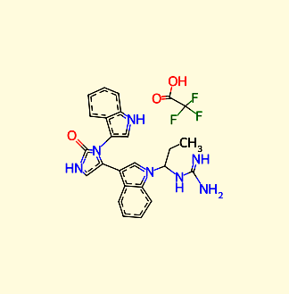 CCC(NC(=N)N)n1cc(-c2c[nH]c(=O)n2-c2c[nH]c3ccccc23)c2ccccc21.O=C(O)C(F)(F)F